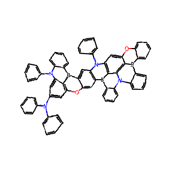 c1ccc(N(c2ccccc2)c2cc3c4c(c2)N(c2ccccc2)c2ccccc2B4c2cc4c(cc2O3)B2c3ccccc3N3c5ccccc5B5c6ccccc6Oc6cc(c2c3c65)N4c2ccccc2)cc1